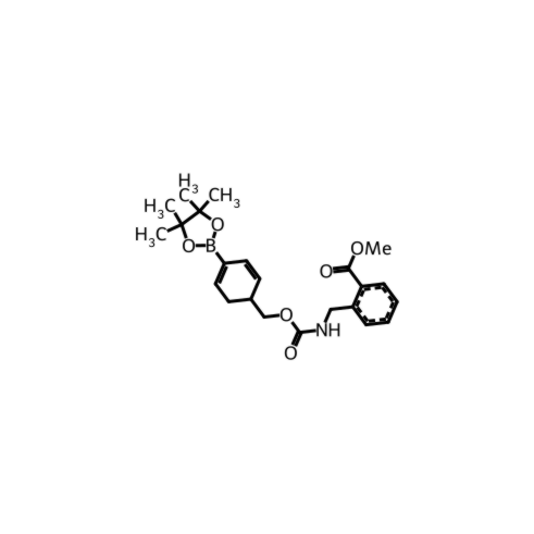 COC(=O)c1ccccc1CNC(=O)OCC1C=CC(B2OC(C)(C)C(C)(C)O2)=CC1